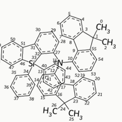 CC1(C)c2ccccc2-c2c(N(c3cccc4c3-c3ccccc3C4(C)C)c3cccc4c3[Si](c3ccccc3)(c3ccccc3)c3ccccc3-4)cccc21